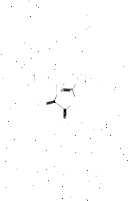 CC1=[N+](C)C(=O)C(=O)O1